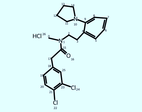 CN(CCc1ccccc1N1CCCC1)C(=O)Cc1ccc(Cl)c(Cl)c1.Cl